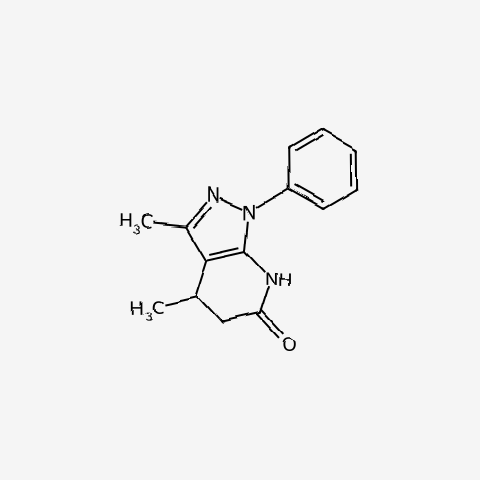 Cc1nn(-c2ccccc2)c2c1C(C)CC(=O)N2